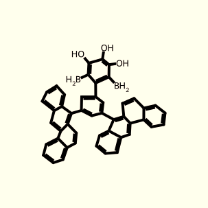 Bc1c(O)c(O)c(O)c(B)c1-c1cc(-c2c3ccccc3cc3c2ccc2ccccc23)cc(-c2c3ccccc3cc3c2ccc2ccccc23)c1